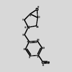 COc1ccc(CN2CC3OC3C2)cc1